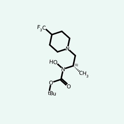 C[C@@H](CN1CCC(C(F)(F)F)CC1)N(O)C(=O)OC(C)(C)C